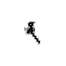 CCCCCCCCCC(=O)N(NC(=O)c1cccc(C)c1)C(C)(C)C